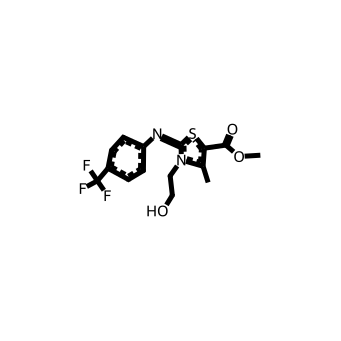 COC(=O)c1sc(=Nc2ccc(C(F)(F)F)cc2)n(CCO)c1C